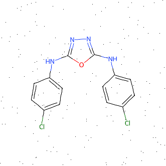 Clc1ccc(Nc2nnc(Nc3ccc(Cl)cc3)o2)cc1